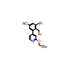 CC(=O)Cc1c(-c2ccnc(OCC(C)(C)C)c2)cc(C#N)cc1C(C)C